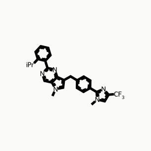 CC(C)c1ccccc1-c1ncc2c(n1)c(Cc1ccc(-c3nc(C(F)(F)F)cn3C)cc1)cn2C